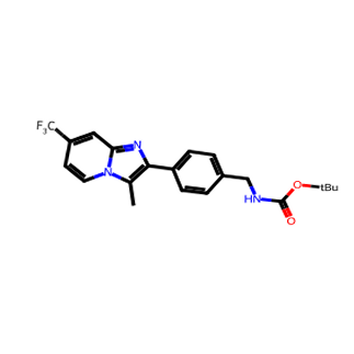 Cc1c(-c2ccc(CNC(=O)OC(C)(C)C)cc2)nc2cc(C(F)(F)F)ccn12